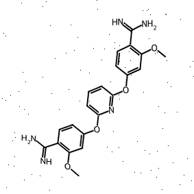 COc1cc(Oc2cccc(Oc3ccc(C(=N)N)c(OC)c3)n2)ccc1C(=N)N